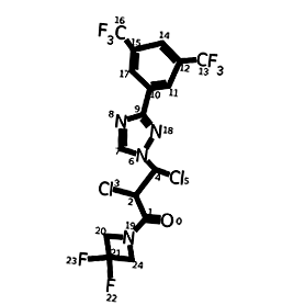 O=C(C(Cl)C(Cl)n1cnc(-c2cc(C(F)(F)F)cc(C(F)(F)F)c2)n1)N1CC(F)(F)C1